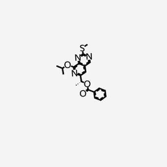 CSc1ncc2cc([C@@H](C)OC(=O)c3ccccc3)nc(OC(C)C)c2n1